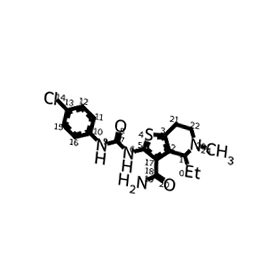 CCC1c2c(sc(NC(=O)Nc3ccc(Cl)cc3)c2C(N)=O)CCN1C